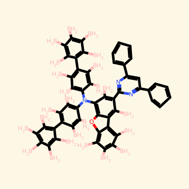 Bc1c(B)c(B)c(-c2c(B)c(B)c(N(c3c(B)c(B)c(-c4c(B)c(B)c(B)c(B)c4B)c(B)c3B)c3c(B)c(-c4nc(-c5ccccc5)cc(-c5ccccc5)n4)c(B)c4c3oc3c(B)c(B)c(B)c(B)c34)c(B)c2B)c(B)c1B